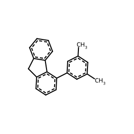 Cc1cc(C)cc(-c2cccc3c2-c2ccccc2C3)c1